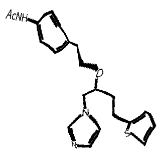 CC(=O)Nc1ccc(CCOC(CCc2cccs2)Cn2ccnc2)cc1